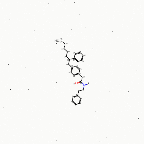 CN(CCc1ccccc1)C(=O)Cc1ccc(CC(CCCCC(=O)O)c2ccccc2)cc1